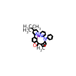 C=Cc1c2cccc1n(-c1ccccc1)c1cccc[n+]1p1c3c(ccc4occ2c43)c2cc(C(C)(C)C)cc[n+]21